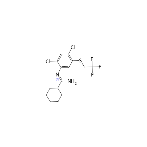 N/C(=N\c1cc(SCC(F)(F)F)c(Cl)cc1Cl)C1CCCCC1